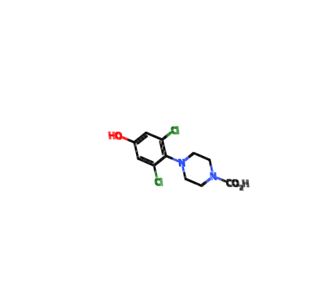 O=C(O)N1CCN(c2c(Cl)cc(O)cc2Cl)CC1